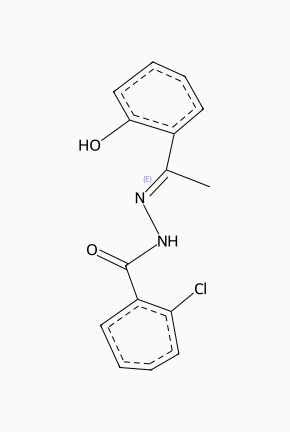 C/C(=N\NC(=O)c1ccccc1Cl)c1ccccc1O